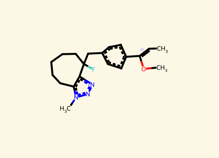 C/C=C(\OC)c1ccc(CC2(F)CCCCCc3c2nnn3C)cc1